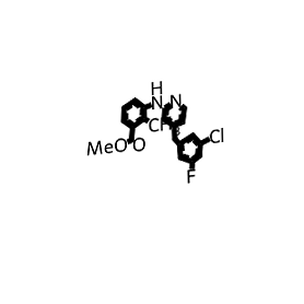 COC(=O)c1cccc(Nc2cc(Cc3cc(F)cc(Cl)c3)ccn2)c1C